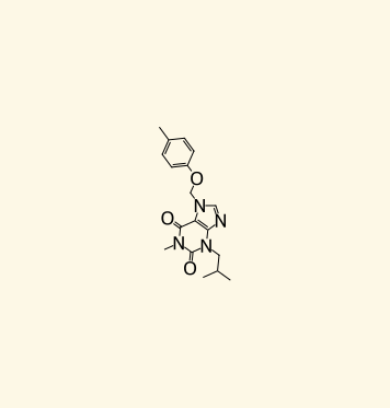 Cc1ccc(OCn2cnc3c2c(=O)n(C)c(=O)n3CC(C)C)cc1